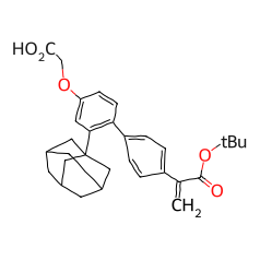 C=C(C(=O)OC(C)(C)C)c1ccc(-c2ccc(OCC(=O)O)cc2C23CC4CC(CC(C4)C2)C3)cc1